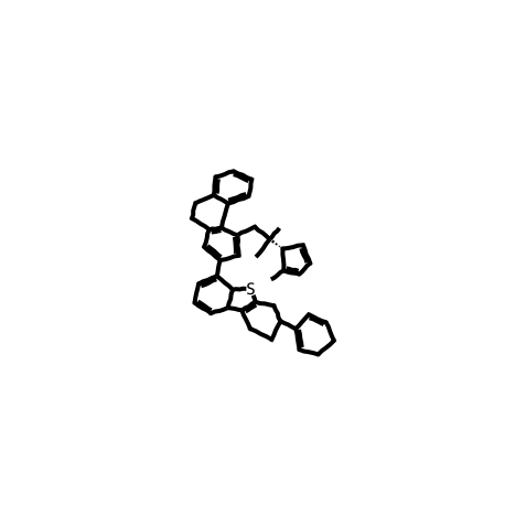 CC1=CC=C[C@H]1C(C)(C)Cc1cc(C2=CC=CC3C4=C(CC(C5=CCCC=C5)CC4)SC23)cc2c1-c1ccccc1CC2